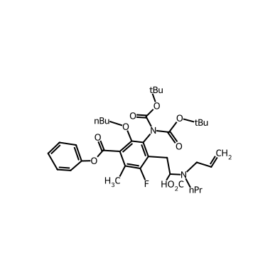 C=CCN(CCC)C(Cc1c(F)c(C)c(C(=O)Oc2ccccc2)c(OCCCC)c1N(C(=O)OC(C)(C)C)C(=O)OC(C)(C)C)C(=O)O